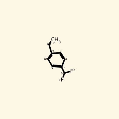 C[C]c1ccc(C(F)F)cc1